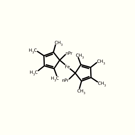 CCC[C]1([Fe][C]2(CCC)C(C)=C(C)C(C)=C2C)C(C)=C(C)C(C)=C1C